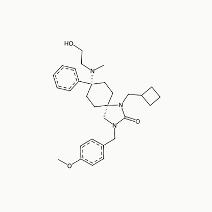 COc1ccc(CN2C[C@]3(CC[C@@](c4ccccc4)(N(C)CCO)CC3)N(CC3CCC3)C2=O)cc1